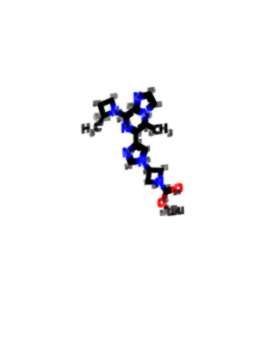 Cc1c(-c2cn(C3CN(C(=O)OC(C)(C)C)C3)cn2)nc(N2CC[C@@H]2C)c2nccn12